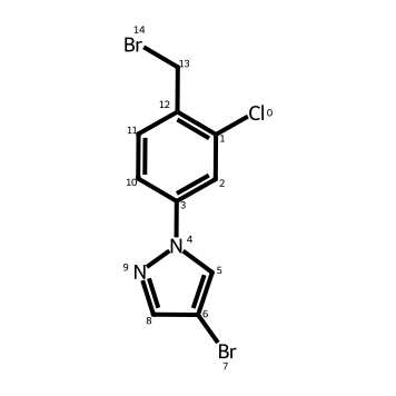 Clc1cc(-n2cc(Br)cn2)ccc1CBr